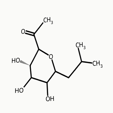 CC(=O)C1OC(CC(C)C)C(O)C(O)[C@@H]1O